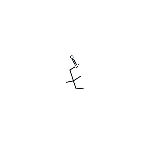 CCC(C)(C)C[S+]=O